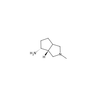 CN1CC2CC[C@@H](N)[C@H]2C1